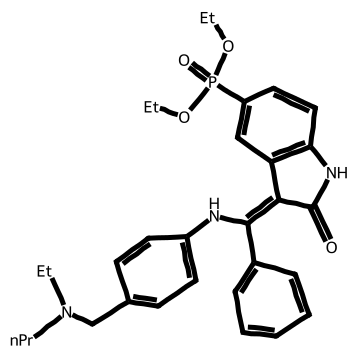 CCCN(CC)Cc1ccc(NC(=C2C(=O)Nc3ccc(P(=O)(OCC)OCC)cc32)c2ccccc2)cc1